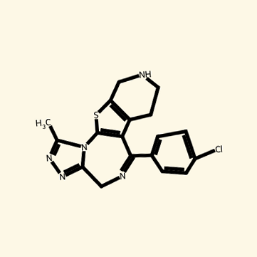 Cc1nnc2n1-c1sc3c(c1C(c1ccc(Cl)cc1)=NC2)CCNC3